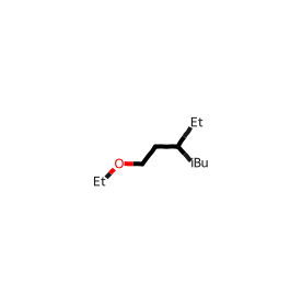 CCOCCC(CC)C(C)CC